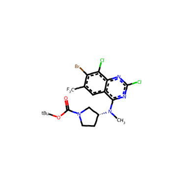 CN(c1nc(Cl)nc2c(Cl)c(Br)c(C(F)(F)F)cc12)[C@@H]1CCN(C(=O)OC(C)(C)C)C1